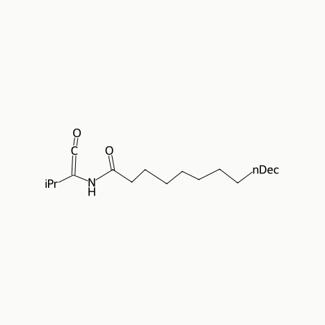 CCCCCCCCCCCCCCCCCC(=O)NC(=C=O)C(C)C